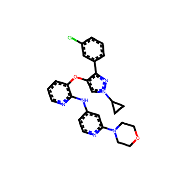 Clc1cccc(-c2nn(C3CC3)cc2Oc2cccnc2Nc2ccnc(N3CCOCC3)c2)c1